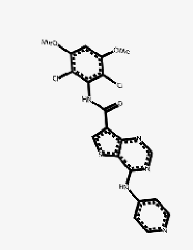 COc1cc(OC)c(Cl)c(NC(=O)c2csc3c(Nc4ccncc4)ncnc23)c1Cl